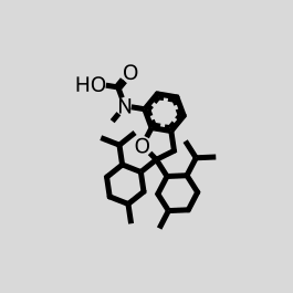 CC1CCC(C(C)C)C(C2(C3CC(C)CCC3C(C)C)Cc3cccc(N(C)C(=O)O)c3O2)C1